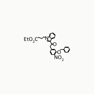 CCOC(=O)CCCn1cc(C(=O)Cc2ccc([N+](=O)[O-])c(OCc3ccccc3)c2)c2ccccc21